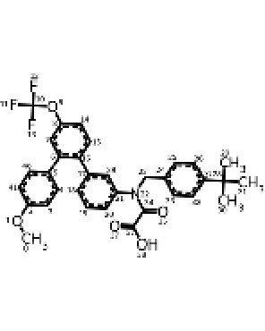 COc1ccc(-c2cc(OC(F)(F)F)ccc2-c2cccc(N(Cc3ccc(C(C)(C)C)cc3)C(=O)C(=O)O)c2)cc1